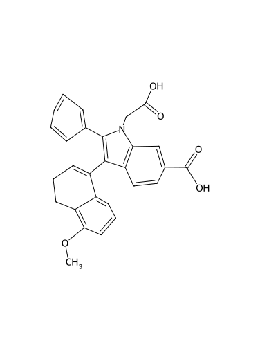 COc1cccc2c1CCC=C2c1c(-c2ccccc2)n(CC(=O)O)c2cc(C(=O)O)ccc12